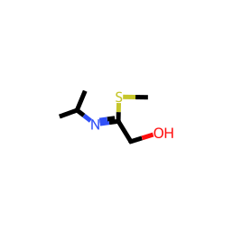 CS/C(CO)=N\C(C)C